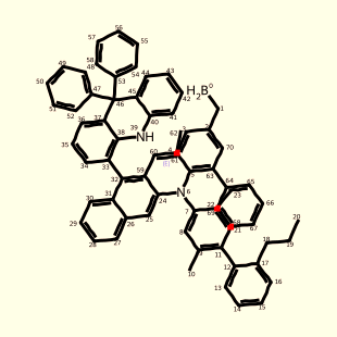 BCc1ccc(N(c2cc(C)c(-c3ccccc3CCC)cc2C)c2cc3ccccc3c(-c3cccc4c3Nc3ccccc3C4(c3ccccc3)c3ccccc3)c2/C=C/C)c(-c2ccccc2)c1